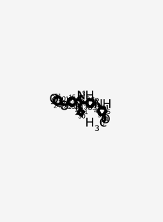 COc1ccc(Nc2ccc(-c3c(N)c4ccc(OC5CCOCC5)cc4n3C3CCC3)cc2)cc1